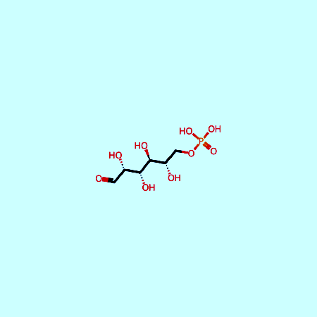 O=C[C@H](O)[C@@H](O)[C@@H](O)[C@@H](O)COP(=O)(O)O